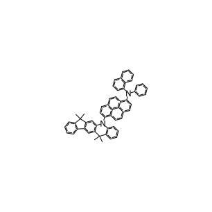 CC1(C)c2ccccc2-c2cc3c(cc21)N(c1ccc2ccc4c(N(c5ccccc5)c5cccc6ccccc56)ccc5ccc1c2c54)c1ccccc1C3(C)C